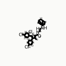 Cc1c(C(=O)NCCNC2C3CC4CC(C3)CC2C4)sc(-c2ccc(Cl)cc2Cl)c1-c1ccc(Cl)cc1